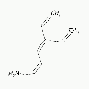 C=CC(C=C)=C/C=C\N